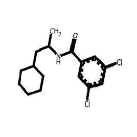 CC(CC1CCCCC1)NC(=O)c1cc(Cl)cc(Cl)c1